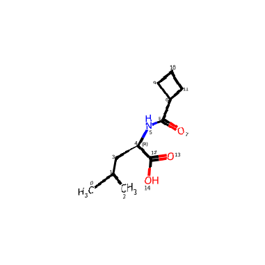 CC(C)C[C@@H](NC(=O)C1CCC1)C(=O)O